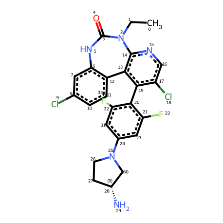 CCN1C(=O)Nc2cc(Cl)ccc2-c2c1ncc(Cl)c2-c1c(F)cc(N2CC[C@@H](N)C2)cc1F